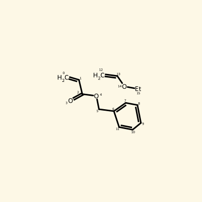 C=CC(=O)OCc1ccccc1.C=COCC